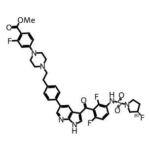 COC(=O)c1ccc(N2CCN(CCc3ccc(-c4cnc5[nH]cc(C(=O)c6c(F)ccc(NS(=O)(=O)N7CC[C@@H](F)C7)c6F)c5c4)cc3)CC2)cc1F